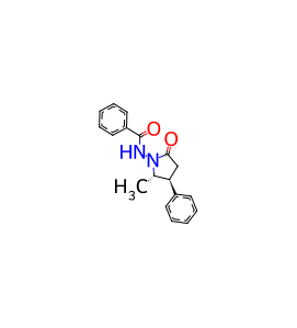 C[C@H]1[C@H](c2ccccc2)CC(=O)N1NC(=O)c1ccccc1